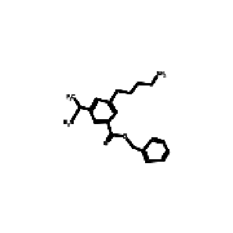 NCCCCc1cc(C(=O)OCc2ccccc2)cc(C(N)C(F)(F)F)c1